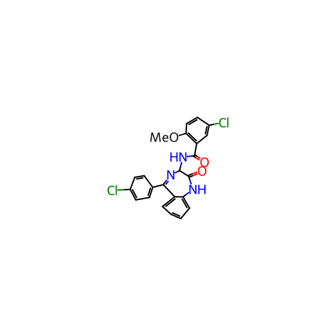 COc1ccc(Cl)cc1C(=O)NC1N=C(c2ccc(Cl)cc2)c2ccccc2NC1=O